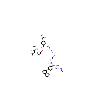 C=CC(=O)N1CCN(c2nc(NCCC(=O)N(C)CCOCCOc3cc(-c4scnc4C)ccc3CNC(=O)C3CC(O)CN3C(=O)[C@H](c3cc(C)no3)C(C)C)nc3c(F)c(-c4cc(O)cc5ccccc45)c(Cl)cc23)CC1